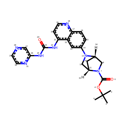 CC(C)(C)OC(=O)N1C[C@@H]2C[C@H]1CN2c1ccc2nccc(NC(=O)Nc3cnccn3)c2c1